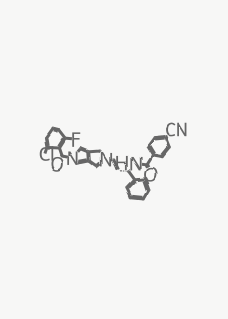 N#Cc1ccc(C(=O)N[C@@H](CCN2CC3=CN(C(=O)c4c(F)cccc4Cl)CC3C2)c2ccccc2)cc1